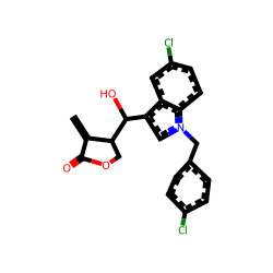 C=C1C(=O)OCC1C(O)c1cn(Cc2ccc(Cl)cc2)c2ccc(Cl)cc12